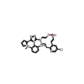 COc1cccc(O)c1-n1c(-c2ccco2)nnc1N(/C=C/SI)SCCc1ncc(Cl)cc1/C=C/O